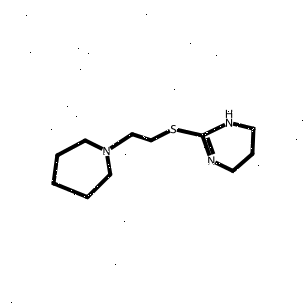 C1CCN(CCSC2=NCCCN2)CC1